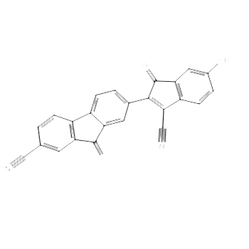 Cc1ccc2c(c1)C(=O)C(c1ccc3c(c1)C(=O)c1cc(C#N)ccc1-3)=C2C#N